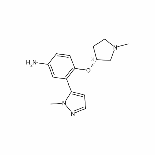 CN1CC[C@@H](Oc2ccc(N)cc2-c2ccnn2C)C1